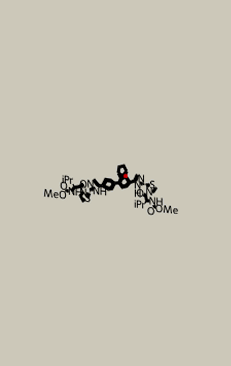 COC(=O)N[C@H](C(=O)N1CCS[C@H]1c1ncc(-c2ccc(-c3ccc(-c4cnc([C@@H]5SCCN5C(=O)[C@@H](NC(=O)OC)C(C)C)[nH]4)c4c3C3CCC4C3)cc2)[nH]1)C(C)C